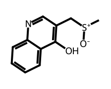 C[S+]([O-])Cc1cnc2ccccc2c1O